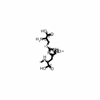 CNC(Cc1c[nH]c(SCC(N)C(=O)O)n1)C(=O)O.Cl.Cl